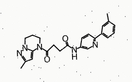 Cc1cccc(-c2ccc(NC(=O)CCC(=O)N3CCCn4nc(C)cc43)cn2)c1